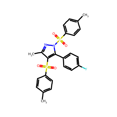 Cc1ccc(S(=O)(=O)c2c(C)nn(S(=O)(=O)c3ccc(C)cc3)c2-c2ccc(F)cc2)cc1